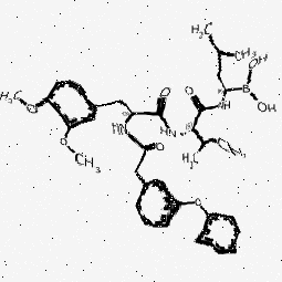 COc1ccc(C[C@H](NC(=O)Cc2cccc(Oc3ccccc3)c2)C(=O)N[C@H](C(=O)N[C@@H](CC(C)C)B(O)O)C(C)C)cc1OC